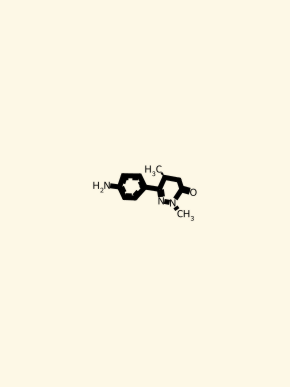 C[C@@H]1CC(=O)N(C)N=C1c1ccc(N)cc1